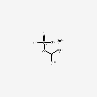 CCCCC(CCCC)OP(=O)([S-])[S-].[Zn+2]